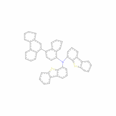 c1ccc2c(c1)cc(-c1ccc(N(c3cccc4c3sc3ccccc34)c3cccc4c3sc3ccccc34)c3ccccc13)c1ccccc12